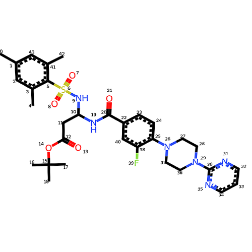 Cc1cc(C)c(S(=O)(=O)NC(CC(=O)OC(C)(C)C)NC(=O)c2ccc(N3CCN(c4ncccn4)CC3)c(F)c2)c(C)c1